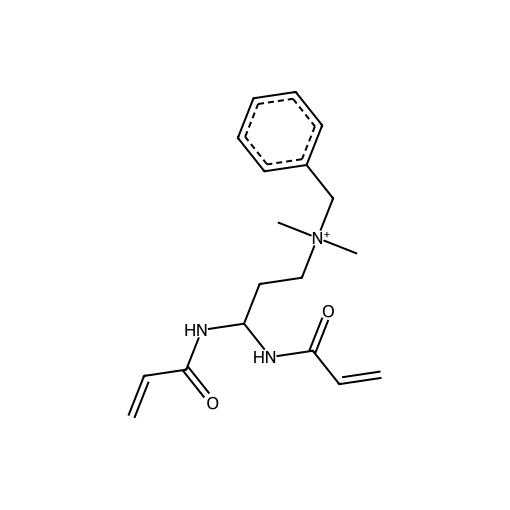 C=CC(=O)NC(CC[N+](C)(C)Cc1ccccc1)NC(=O)C=C